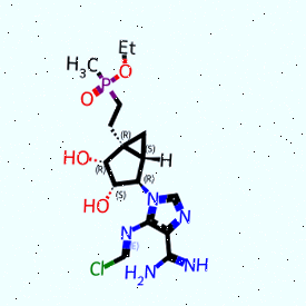 CCOP(C)(=O)CC[C@]12C[C@@H]1[C@@H](n1cnc(C(=N)N)c1/N=C/Cl)[C@H](O)[C@@H]2O